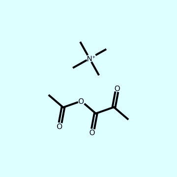 CC(=O)OC(=O)C(C)=O.C[N+](C)(C)C